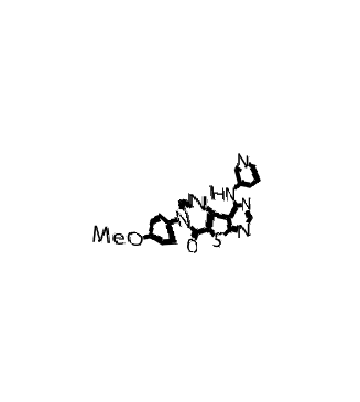 COc1ccc(-n2cnc3c(sc4ncnc(Nc5cccnc5)c43)c2=O)cc1